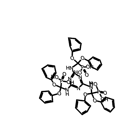 O=P(O)(O)C(Nc1nc(NC(Oc2ccccc2)(Oc2ccccc2)P(=O)(O)O)nc(NC(Oc2ccccc2)(Oc2ccccc2)P(=O)(O)O)n1)(Oc1ccccc1)Oc1ccccc1